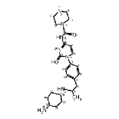 CC(Cc1ccc(-n2ccc(NC(=O)N3CCNCC3)nc2=O)cc1)N[C@H]1CC[C@H](N)CC1